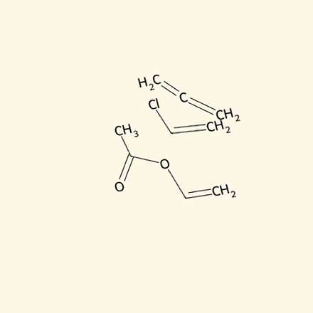 C=C=C.C=CCl.C=COC(C)=O